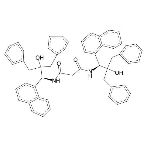 O=C(CC(=O)N[C@@H](c1cccc2ccccc12)C(O)(Cc1ccccc1)Cc1ccccc1)N[C@@H](c1cccc2ccccc12)C(O)(Cc1ccccc1)Cc1ccccc1